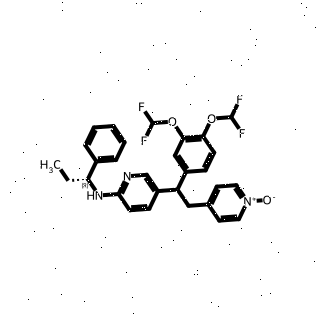 CC[C@@H](Nc1ccc(C(Cc2cc[n+]([O-])cc2)c2ccc(OC(F)F)c(OC(F)F)c2)cn1)c1ccccc1